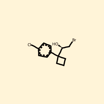 O[C@@H](CBr)C1(c2ccc(Cl)cc2)CCC1